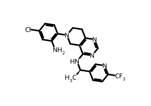 C[C@@H](Nc1ncnc2c1CN(c1ccc(Cl)cc1N)CC2)c1ccc(C(F)(F)F)nc1